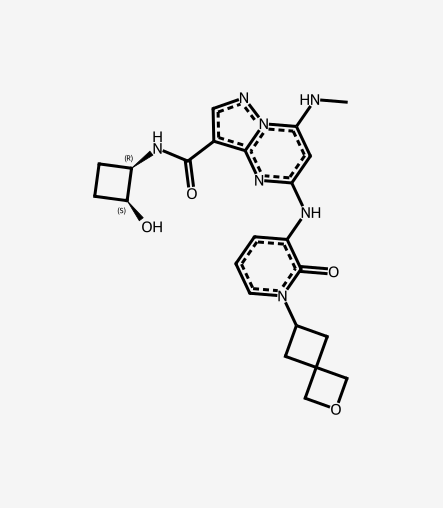 CNc1cc(Nc2cccn(C3CC4(COC4)C3)c2=O)nc2c(C(=O)N[C@@H]3CC[C@@H]3O)cnn12